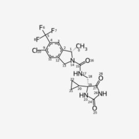 C[C@H]1c2cc(C(F)(F)F)c(Cl)cc2CN1C(=O)NC[C@@]1(C2CC2)NC(=O)NC1=O